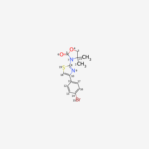 CC1(C)COC(=O)N1c1nc(-c2ccc(Br)cc2)cs1